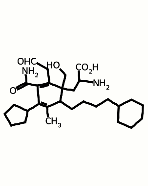 CC1=C(C2CCCC2)C(C(N)=O)=C(CC=O)C(CO)(CC(N)C(=O)O)C1CCCCC1CCCCC1